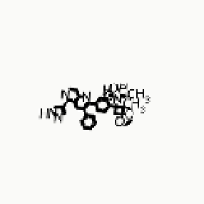 CC(C)(C)N(C(=O)O)C1(c2ccc(-c3nc4ccnc(-c5cn[nH]c5)c4cc3-c3ccccc3)cc2)CC2(C1)OCCO2